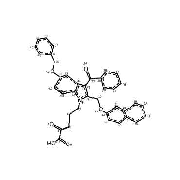 O=C(O)C(=O)CCCn1c(COc2ccc3ccccc3c2)c(C(=O)c2ccccc2)c2cc(OCc3ccccc3)ccc21